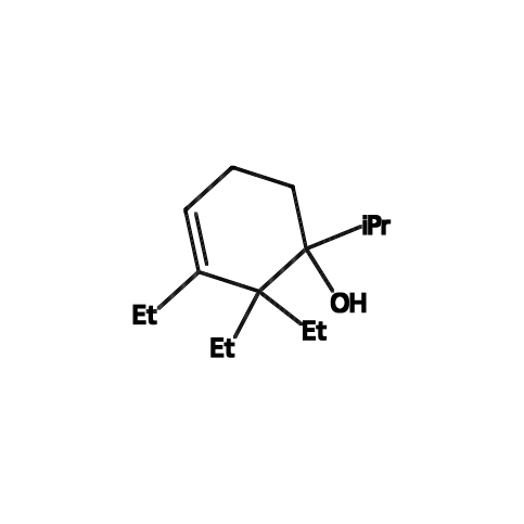 CCC1=CCCC(O)(C(C)C)C1(CC)CC